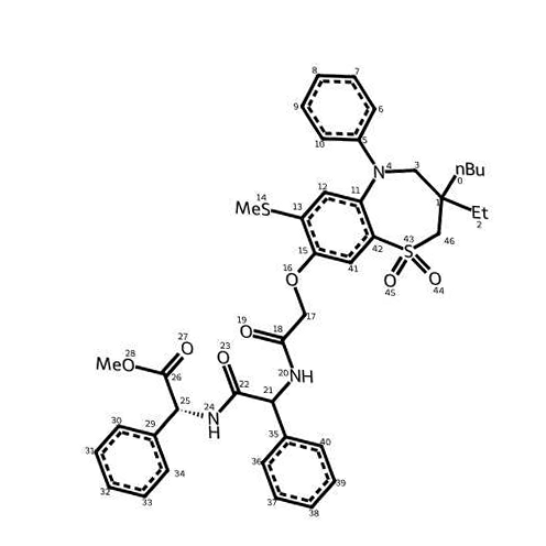 CCCCC1(CC)CN(c2ccccc2)c2cc(SC)c(OCC(=O)NC(C(=O)N[C@@H](C(=O)OC)c3ccccc3)c3ccccc3)cc2S(=O)(=O)C1